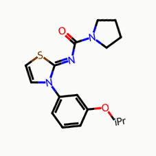 CC(C)Oc1cccc(-n2ccsc2=NC(=O)N2CCCC2)c1